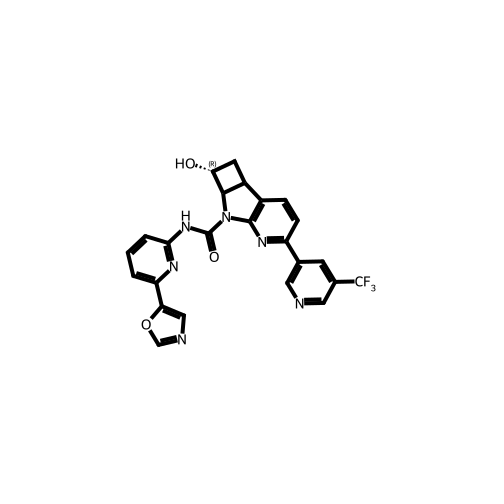 O=C(Nc1cccc(-c2cnco2)n1)N1c2nc(-c3cncc(C(F)(F)F)c3)ccc2C2C[C@@H](O)C21